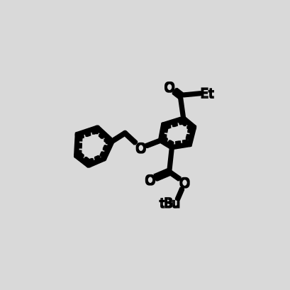 CCC(=O)c1ccc(C(=O)OC(C)(C)C)c(OCc2ccccc2)c1